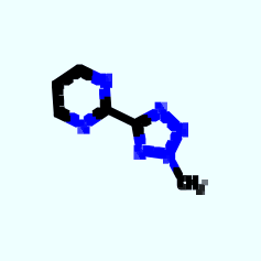 [CH2]n1nnc(-c2ncccn2)n1